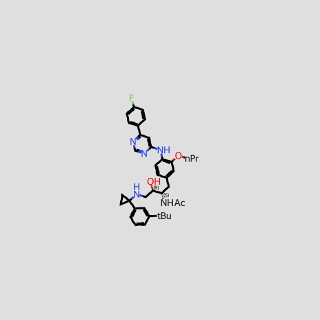 CCCOc1cc(C[C@H](NC(C)=O)[C@H](O)CNC2(c3cccc(C(C)(C)C)c3)CC2)ccc1Nc1cc(-c2ccc(F)cc2)ncn1